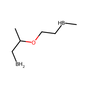 BCC(C)OCCBC